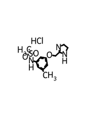 Cc1cc(NS(C)(=O)=O)cc(OCC2=NCCN2)c1.Cl